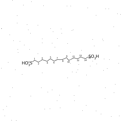 O=S(=O)(O)CCCCCCCCCCCCCCS(=O)(=O)O